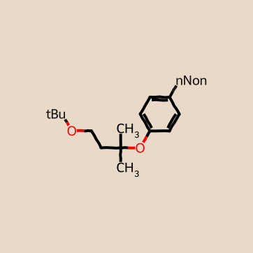 CCCCCCCCCc1ccc(OC(C)(C)CCOC(C)(C)C)cc1